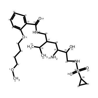 COCCCCOc1ccccc1C(=O)NCC(CC(N)C(O)CNS(=O)(=O)C1CC1)C(C)C